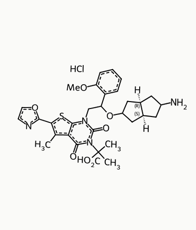 COc1ccccc1C(Cn1c(=O)n(C(C)(C)C(=O)O)c(=O)c2c(C)c(-c3ncco3)sc21)OC1C[C@H]2CC(N)C[C@H]2C1.Cl